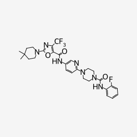 CC1(C)CCN(c2nc(C(F)(F)F)c(C(=O)Nc3ccc(N4CCN(C(=O)Nc5ccccc5F)CC4)nc3)o2)CC1